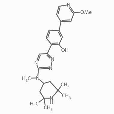 COc1cc(-c2ccc(-c3cnc(N(C)C4CC(C)(C)NC(C)(C)C4)nn3)c(O)c2)ccn1